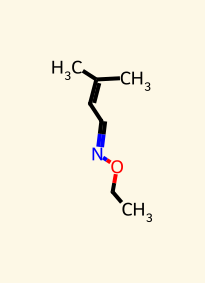 CCON=CC=C(C)C